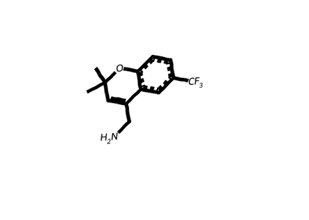 CC1(C)C=C(CN)c2cc(C(F)(F)F)ccc2O1